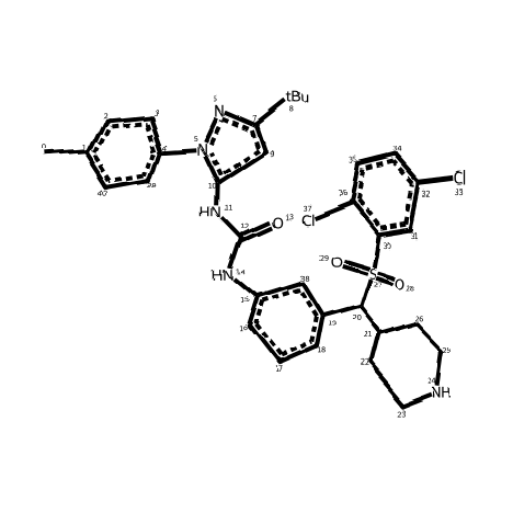 Cc1ccc(-n2nc(C(C)(C)C)cc2NC(=O)Nc2cccc(C(C3CCNCC3)S(=O)(=O)c3cc(Cl)ccc3Cl)c2)cc1